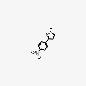 O=[N+]([O-])c1ccc(C2=NNCC2)cc1